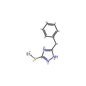 CCSc1n[nH]c(Cc2ccccc2)n1